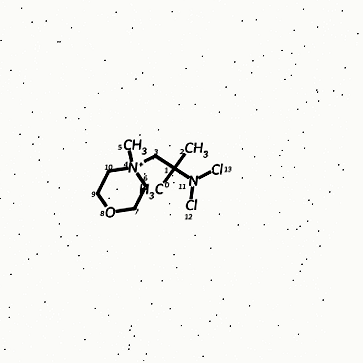 CC(C)(C[N+]1(C)CCOCC1)N(Cl)Cl